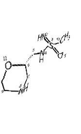 CS(=N)(=O)NC[C@@H]1CNCCO1